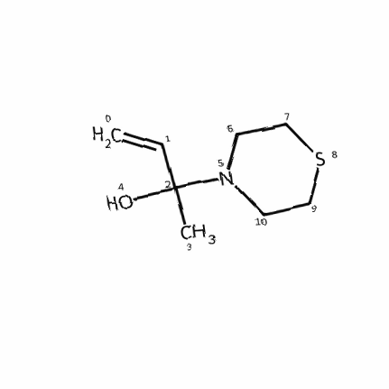 C=CC(C)(O)N1CCSCC1